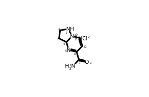 Cl.NC(=O)C1=NC2CCNN2C=C1